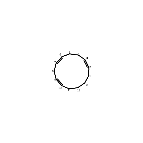 [CH]1CC=CCCC=CCC=CCC1